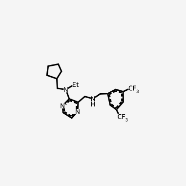 CCN(CC1CCCC1)c1nccnc1CNCc1cc(C(F)(F)F)cc(C(F)(F)F)c1